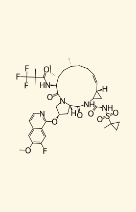 CC[C@@H]1C[C@H](C)CC/C=C\[C@@H]2C[C@@]2(C(=O)NS(=O)(=O)C2(C)CC2)NC(=O)[C@@H]2C[C@@H](Oc3nccc4cc(OC)c(F)cc34)CN2C(=O)[C@H]1NC(=O)C(C)(C)C(F)(F)F